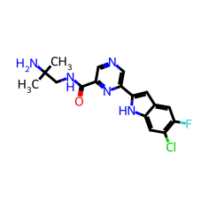 CC(C)(N)CNC(=O)c1cncc(-c2cc3cc(F)c(Cl)cc3[nH]2)n1